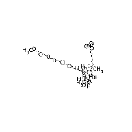 COCCOCCOCCOCCOCCOCCOCC(=O)Oc1cc(C(C)(C)CCCCCCO[N+](=O)[O-])cc(O)c1[C@H]1CC(=O)[C@H]2C[C@H]1C2(C)C